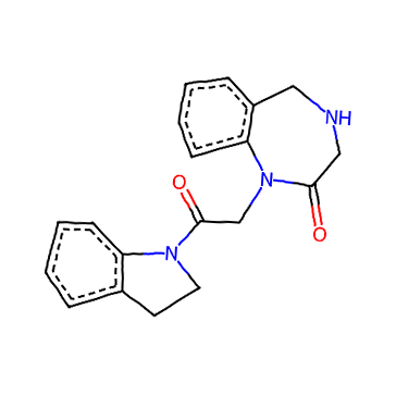 O=C(CN1C(=O)CNCc2ccccc21)N1CCc2ccccc21